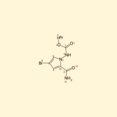 CCCOC(=O)Nn1cc(Br)cc1C(N)=O